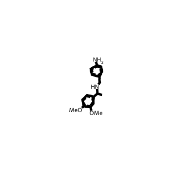 COc1ccc(C(C)NCc2ccc(N)cc2)cc1OC